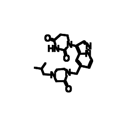 CC(C)CN1CCN(Cc2ccn3ncc(N4CCC(=O)NC4=O)c3c2)C(=O)C1